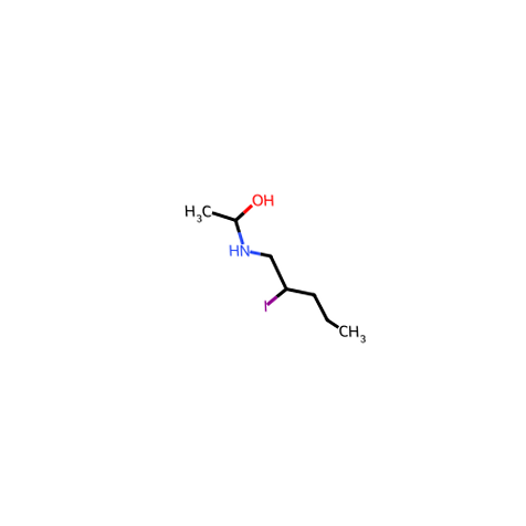 CCCC(I)CNC(C)O